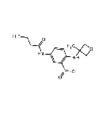 CCCC(=O)Nc1ccc(NC2(C)COC2)c([N+](=O)[O-])c1